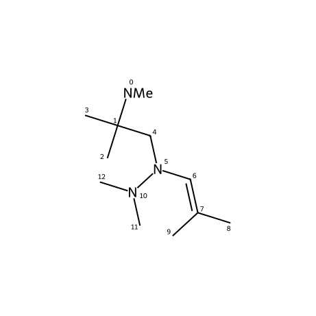 CNC(C)(C)CN(C=C(C)C)N(C)C